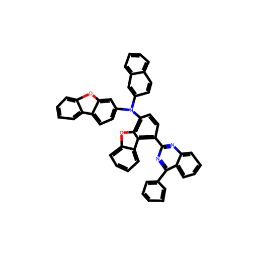 c1ccc(-c2nc(-c3ccc(N(c4ccc5ccccc5c4)c4ccc5c(c4)oc4ccccc45)c4oc5ccccc5c34)nc3ccccc23)cc1